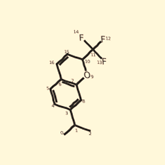 CC(C)c1ccc2c(c1)OC(C(F)(F)F)C=C2